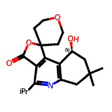 CC(C)c1nc2c(c3c1C(=O)OC31CCOCC1)[C@@H](O)CC(C)(C)C2